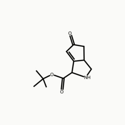 CC(C)(C)OC(=O)C1NCC2CC(=O)C=C21